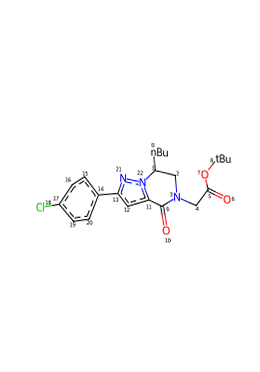 CCCCC1CN(CC(=O)OC(C)(C)C)C(=O)c2cc(-c3ccc(Cl)cc3)nn21